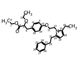 CCOC(=O)C(Cc1ccc(OCCn2c(CC)ccc2CCc2ccccc2)cc1)OCC